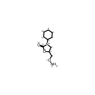 NOCC1CN(C2CCCCC2)C(=O)O1